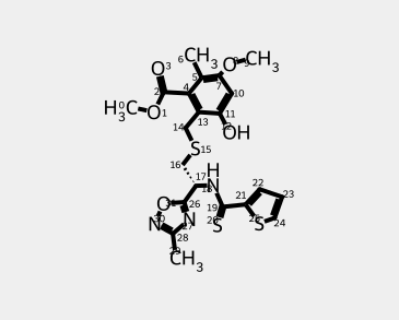 COC(=O)c1c(C)c(OC)cc(O)c1CSC[C@H](NC(=S)c1cccs1)c1nc(C)no1